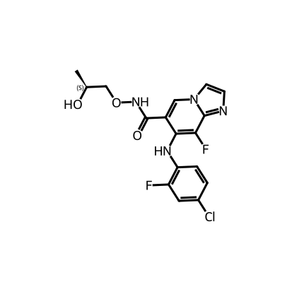 C[C@H](O)CONC(=O)c1cn2ccnc2c(F)c1Nc1ccc(Cl)cc1F